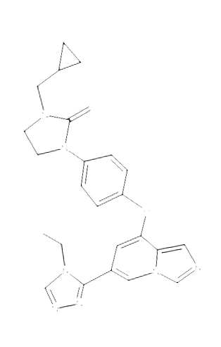 CCn1cnnc1-c1cc(Oc2ccc(N3CCN(CC4CC4)C3=O)cc2)c2cncn2c1